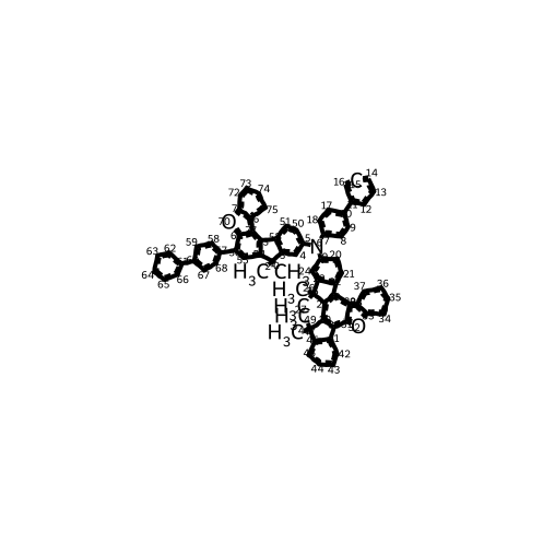 CC1(C)c2cc(N(c3ccc(-c4ccccc4)cc3)c3ccc4c(c3)C(C)(C)c3c5c(c6oc7ccccc7c6c3-4)-c3ccccc3C5(C)C)ccc2-c2c1cc(-c1ccc(-c3ccccc3)cc1)c1oc3ccccc3c21